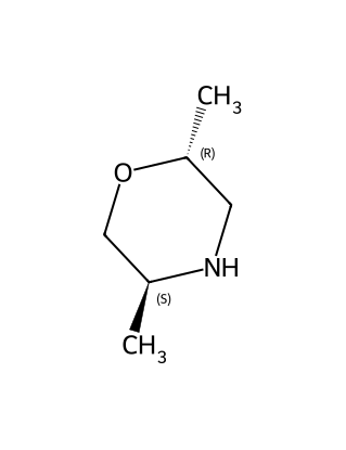 C[C@@H]1CN[C@@H](C)CO1